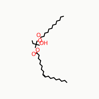 CCCCCCCC/C=C\CCCCCCCC(=O)OCC(CC)(CO)COC(=O)CCCCCCCCCCC